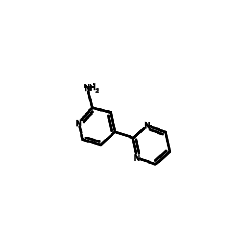 Nc1cc(-c2ncccn2)ccn1